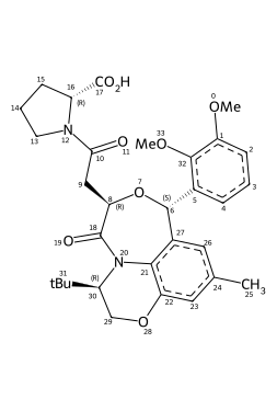 COc1cccc([C@H]2O[C@H](CC(=O)N3CCC[C@@H]3C(=O)O)C(=O)N3c4c(cc(C)cc42)OC[C@H]3C(C)(C)C)c1OC